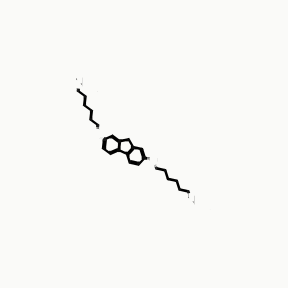 NCCCCCCOc1ccc2c(c1)Cc1cc(OCCCCCCN)ccc1-2